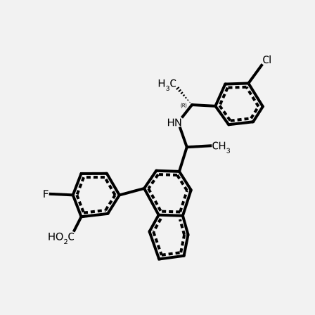 CC(N[C@H](C)c1cccc(Cl)c1)c1cc(-c2ccc(F)c(C(=O)O)c2)c2ccccc2c1